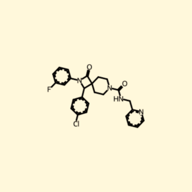 O=C(NCc1ccccn1)N1CCC2(CC1)C(=O)N(c1cccc(F)c1)C2c1ccc(Cl)cc1